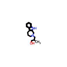 CC(CO)CN1CCCc2c([nH]c3ccccc23)C1